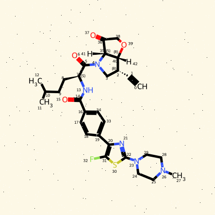 C#C[C@@H]1CN(C(=O)[C@H](CCC(C)C)NC(=O)c2ccc(-c3nc(N4CCN(C)CC4)sc3F)cc2)[C@@H]2C(=O)CO[C@H]12